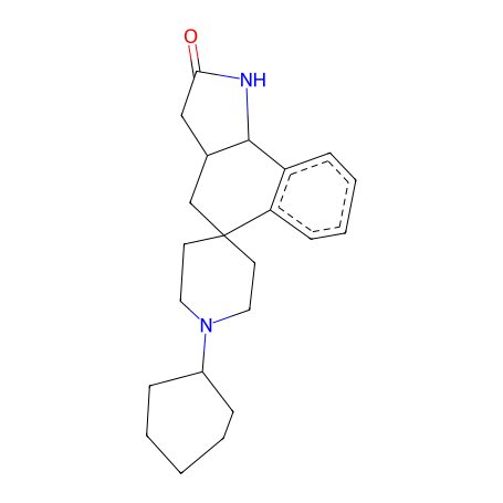 O=C1CC2CC3(CCN(C4CCCCC4)CC3)c3ccccc3C2N1